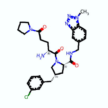 Cn1nnc2cc(CNC(=O)[C@@H]3C[C@H](Cc4cccc(Cl)c4)CN3C(=O)[C@H](N)CCC(=O)N3CCCC3)ccc21